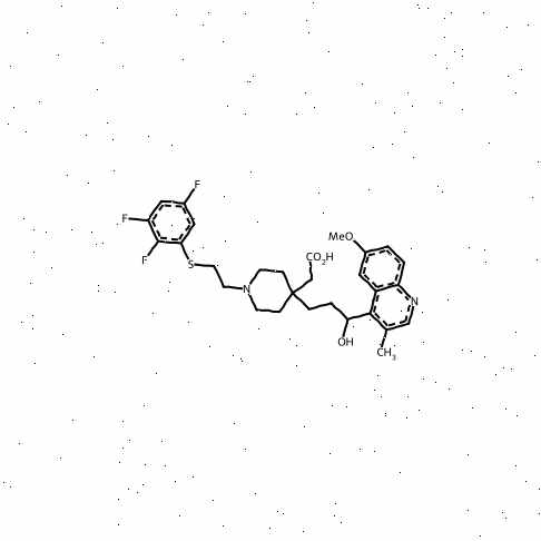 COc1ccc2ncc(C)c(C(O)CCC3(CC(=O)O)CCN(CCSc4cc(F)cc(F)c4F)CC3)c2c1